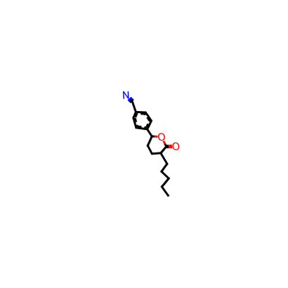 CCCCCC1CCC(c2ccc(C#N)cc2)OC1=O